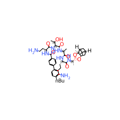 CCCCc1ccc(-c2ccc(C(=O)N[C@@H](CCN)C(=O)N[C@H](C(=O)N[C@@H](C)C(=O)N[C@@H](CCCCN)C(=O)N[C@@H](C)B3OC4C[C@@H]5C[C@@H](C5(C)C)[C@]4(C)O3)[C@@H](C)O)cc2)cc1